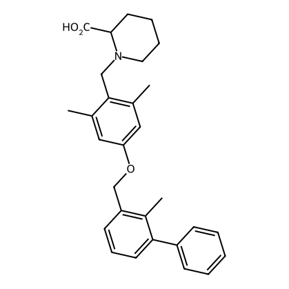 Cc1cc(OCc2cccc(-c3ccccc3)c2C)cc(C)c1CN1CCCCC1C(=O)O